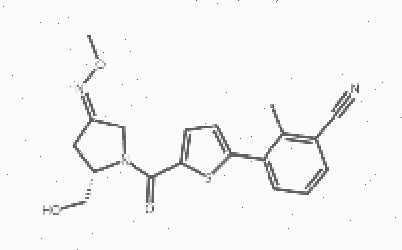 CO/N=C1/C[C@@H](CO)N(C(=O)c2ccc(-c3cccc(C#N)c3C)s2)C1